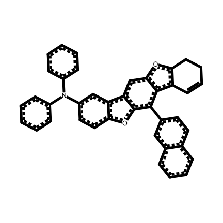 C1=Cc2c(oc3cc4c(oc5ccc(N(c6ccccc6)c6ccccc6)cc54)c(-c4ccc5ccccc5c4)c23)CC1